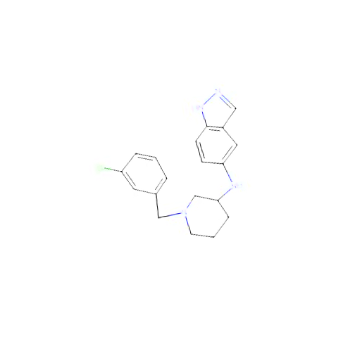 Clc1cccc(CN2CCCC(Nc3ccc4[nH]ncc4c3)C2)c1